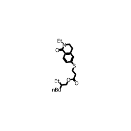 CCCCC(CC)COC(=O)CCSc1ccc2c(c1)CCN(CC)C2=O